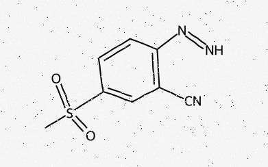 CS(=O)(=O)c1ccc(N=N)c(C#N)c1